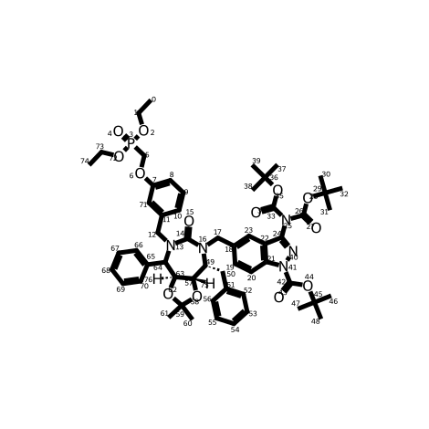 CCOP(=O)(COc1cccc(CN2C(=O)N(Cc3ccc4c(c3)c(N(C(=O)OC(C)(C)C)C(=O)OC(C)(C)C)nn4C(=O)OC(C)(C)C)[C@H](Cc3ccccc3)[C@@H]3OC(C)(C)O[C@H]3C2c2ccccc2)c1)OCC